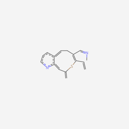 C=C/C1=C(\C=N/C)C/C=c2/cccn/c2=C/C(=C)S1